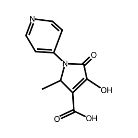 CC1C(C(=O)O)=C(O)C(=O)N1c1ccncc1